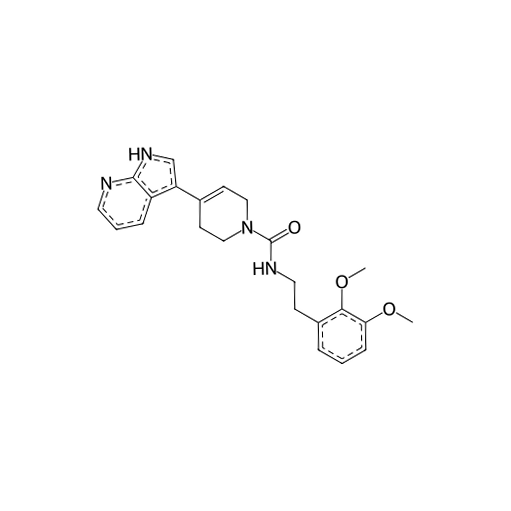 COc1cccc(CCNC(=O)N2CC=C(c3c[nH]c4ncccc34)CC2)c1OC